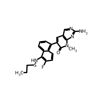 CCCSNc1c(F)ccc2c(-c3cc4cnc(N)nc4n(C)c3=O)cccc12